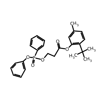 Cc1ccc(C(C)(C)C)c(OC(=O)CCOP(=O)(Oc2ccccc2)c2ccccc2)c1